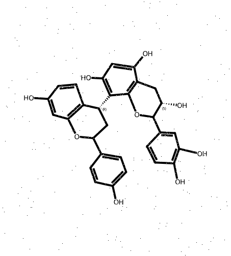 Oc1ccc(C2C[C@@H](c3c(O)cc(O)c4c3OC(c3ccc(O)c(O)c3)[C@@H](O)C4)c3ccc(O)cc3O2)cc1